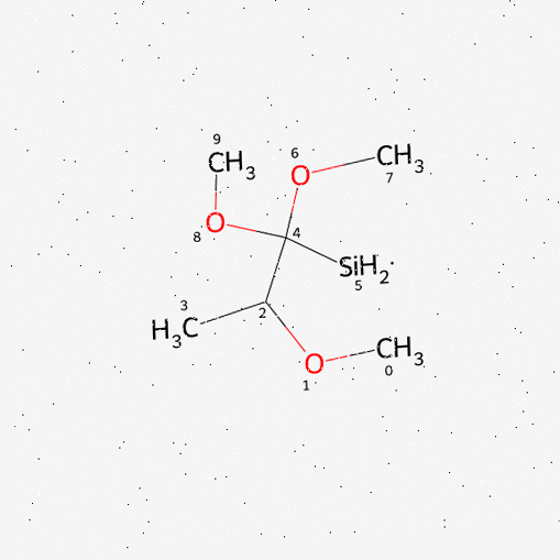 COC(C)C([SiH2])(OC)OC